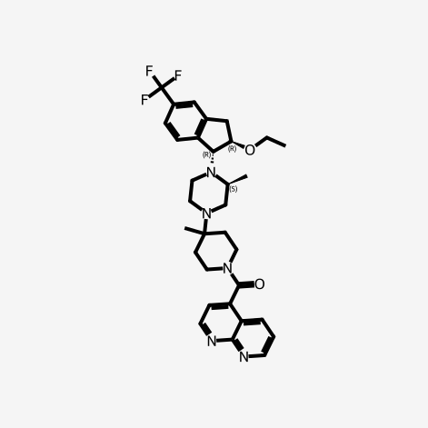 CCO[C@@H]1Cc2cc(C(F)(F)F)ccc2[C@H]1N1CCN(C2(C)CCN(C(=O)c3ccnc4ncccc34)CC2)C[C@@H]1C